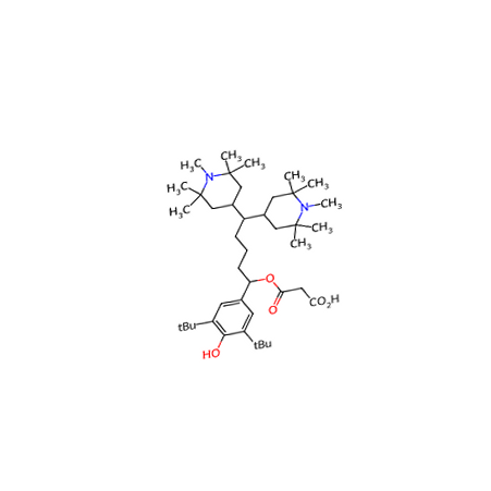 CN1C(C)(C)CC(C(CCCC(OC(=O)CC(=O)O)c2cc(C(C)(C)C)c(O)c(C(C)(C)C)c2)C2CC(C)(C)N(C)C(C)(C)C2)CC1(C)C